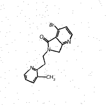 Cc1cccnc1CCN1Cc2nccc(Br)c2C1=O